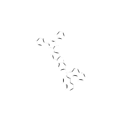 c1ccc(-c2nc(-c3ccccc3)nc(-c3ccc4c(c3)oc3cc(-n5c6ccc7ccccc7c6c6c7ccccc7ccc65)ccc34)n2)cc1